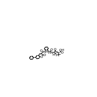 CC1(C)S[C@@H]2C(NC(=O)Cc3ccccc3NC(=O)c3cc4cc(-c5ccccc5)ccc4oc3=O)C(=O)N2[C@H]1C(=O)O